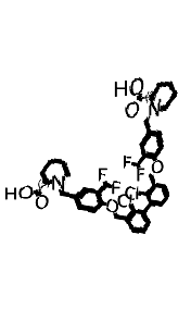 O=C(O)[C@@H]1CCCCN1Cc1ccc(OCc2cccc(-c3cccc(COc4ccc(CN5CCCC[C@H]5C(=O)O)cc4C(F)F)c3Cl)c2Cl)c(C(F)F)c1